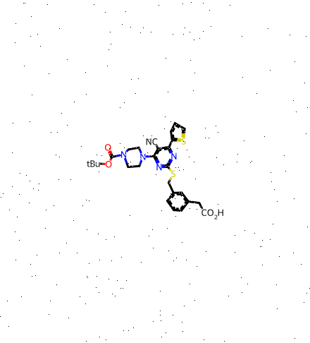 CC(C)(C)OC(=O)N1CCN(c2nc(SCc3cccc(CC(=O)O)c3)nc(-c3cccs3)c2C#N)CC1